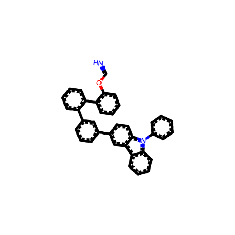 N=COc1ccccc1-c1ccccc1-c1cccc(-c2ccc3c(c2)c2ccccc2n3-c2ccccc2)c1